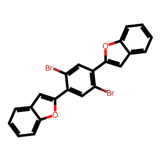 Brc1cc(-c2cc3ccccc3o2)c(Br)cc1-c1cc2ccccc2o1